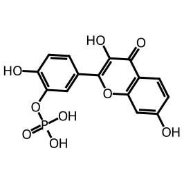 O=c1c(O)c(-c2ccc(O)c(OP(=O)(O)O)c2)oc2cc(O)ccc12